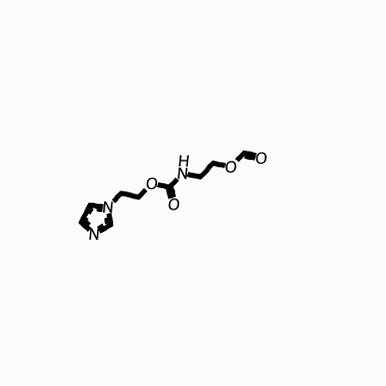 O=COCCNC(=O)OCCn1ccnc1